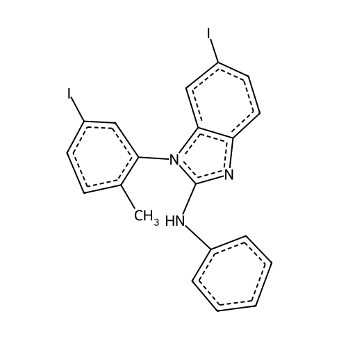 Cc1ccc(I)cc1-n1c(Nc2ccccc2)nc2ccc(I)cc21